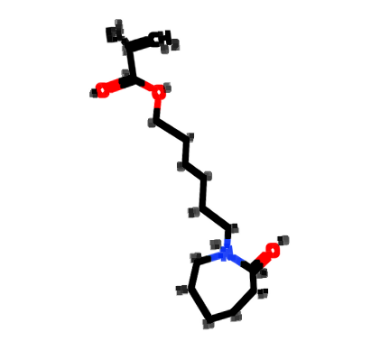 C=C(CC)C(=O)OCCCCCCN1CCCCCC1=O